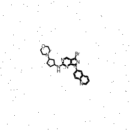 Brc1nn(-c2ccc3ncccc3c2)c2nc(NC3CCC(N4CCOCC4)C3)ncc12